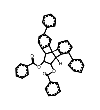 O=C(OC1C(OC(=O)c2ccccc2)[C@H]2c3c(-c4ccccc4)cccc3[C@@]23c2cc(-c4ccccc4)ccc2C13)c1ccccc1